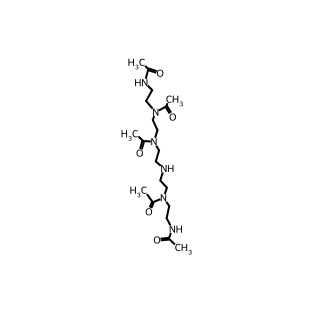 CC(=O)NCCN(CCNCCN(CCN(CCNC(C)=O)C(C)=O)C(C)=O)C(C)=O